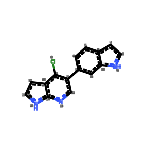 Clc1c(-c2ccc3cc[nH]c3c2)cnc2[nH]ccc12